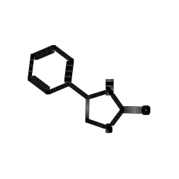 O=C1NC(c2ccccc2)CS1